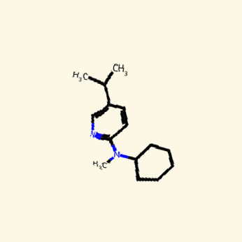 CC(C)c1ccc(N(C)C2CCCCC2)nc1